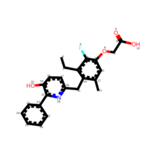 CCc1c(F)c(OCC(=O)O)cc(C)c1Cc1ccc(O)c(-c2ccccc2)n1